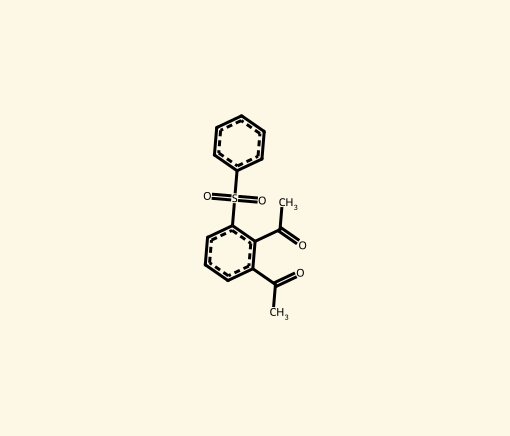 CC(=O)c1cccc(S(=O)(=O)c2ccccc2)c1C(C)=O